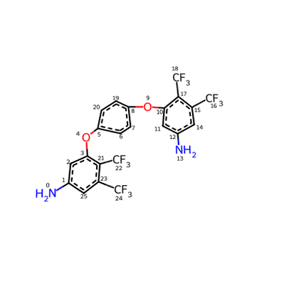 Nc1cc(Oc2ccc(Oc3cc(N)cc(C(F)(F)F)c3C(F)(F)F)cc2)c(C(F)(F)F)c(C(F)(F)F)c1